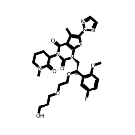 COc1ccc(F)cc1[C@H](Cn1c(=O)n(C2CCCN(C)C2=O)c(=O)c2c(C)c(-n3nccn3)sc21)OCCOCCCO